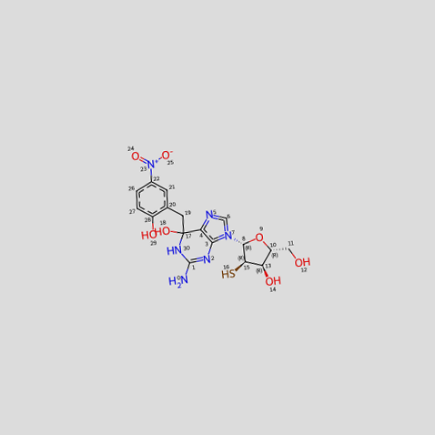 NC1=Nc2c(ncn2[C@@H]2O[C@H](CO)[C@@H](O)[C@H]2S)C(O)(Cc2cc([N+](=O)[O-])ccc2O)N1